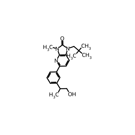 CC(CO)c1cccc(-c2ccc3c(n2)n(C)c(=O)n3CC(C)(C)C)c1